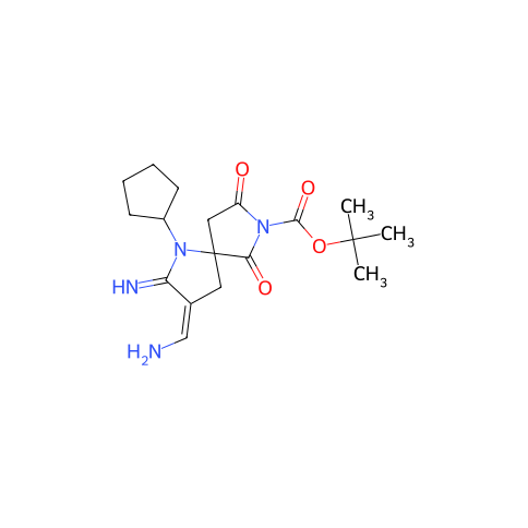 CC(C)(C)OC(=O)N1C(=O)CC2(C/C(=C/N)C(=N)N2C2CCCC2)C1=O